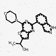 CC(O)c1cc2nc(-c3cccc4[nH]ncc34)nc(N3CCOCC3)c2o1